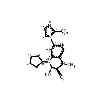 CC[C@@H]1C(=O)N(C)c2cnc(-n3ccnc3C(F)(F)F)nc2N1C1CCCC1